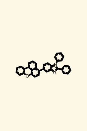 c1ccc(-c2nc3cc(-c4ccc5c6c(cccc46)-c4ccccc4O5)ccc3n2-c2ccccc2)cc1